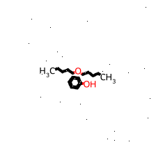 CCCCCOCCCCC.Oc1ccccc1